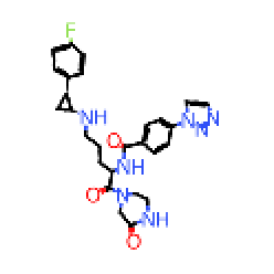 O=C1CN(C(=O)C(CCCN[C@@H]2C[C@H]2c2ccc(F)cc2)NC(=O)c2ccc(-n3ccnn3)cc2)CCN1